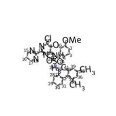 COc1ccccc1Oc1c(Cl)nc(-c2ncccn2)nc1NS(=O)(=O)/C=C/c1ccccc1-c1c(C)cc(C)cc1C